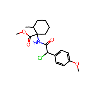 COC(=O)C1(NC(=O)C(Cl)c2ccc(OC)cc2)CCCCC1C